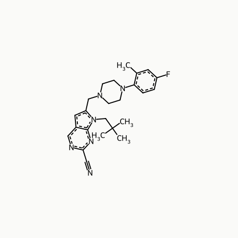 Cc1cc(F)ccc1N1CCN(Cc2cc3cnc(C#N)nc3n2CC(C)(C)C)CC1